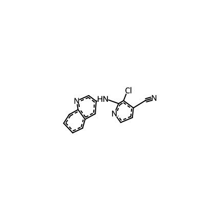 N#Cc1ccnc(Nc2cnc3ccccc3c2)c1Cl